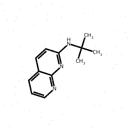 CC(C)(C)Nc1ccc2cccnc2n1